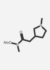 CON(C)C(=O)CC1CCN(C)C1